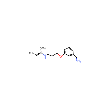 CS/C(=C\[N+](=O)[O-])NCCCOc1cccc(CN)c1